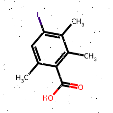 Cc1cc(I)c(C)c(C)c1C(=O)O